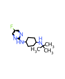 CC(C)(C)NC1CCC(Nc2ncc(F)cn2)CC1